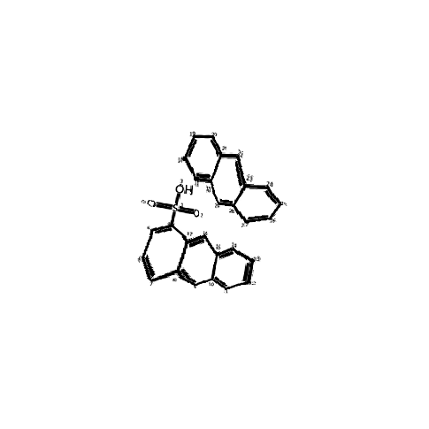 O=S(=O)(O)c1cccc2cc3ccccc3cc12.c1ccc2cc3ccccc3cc2c1